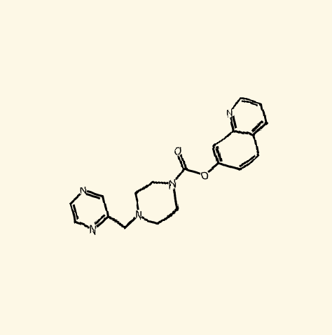 O=C(Oc1ccc2cccnc2c1)N1CCN(Cc2cnccn2)CC1